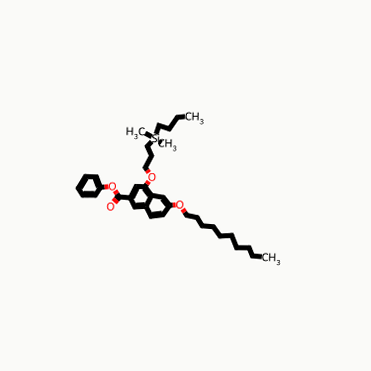 CCCCCCCCCCOc1ccc2cc(C(=O)Oc3ccccc3)cc(OCCC[Si](C)(C)CCCC)c2c1